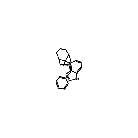 COC1(c2cccc3[nH]nnc23)C2CCCC1CN(Cc1ccccc1)C2